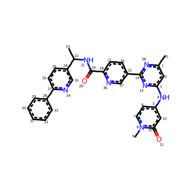 Cc1cc(Nc2ccn(C)c(=O)c2)nc(-c2ccc(C(=O)NC(C)c3ccc(-c4ccccc4)nc3)nc2)n1